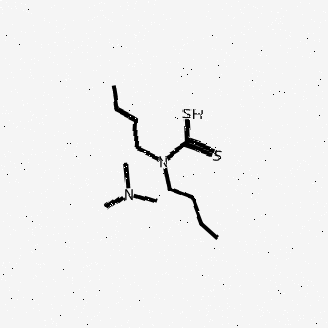 CCCCN(CCCC)C(=S)S.CN(C)C